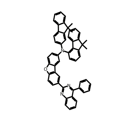 CC1(C)c2ccccc2-c2ccc(N(c3ccc4oc5ccc(-c6nc(-c7ccccc7)c7ccccc7n6)cc5c4c3)c3cccc4c3-c3ccccc3C4(C)C)cc21